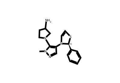 Cn1ncc(N2C=CS[C@H]2c2ccccc2)c1N1CCC(N)C1